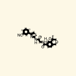 C[C@@]1(F)COCc2ccc(C(=O)NCC(=O)Nc3nc(-c4cccc(C#N)c4)cs3)cc21